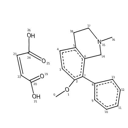 COc1ccc2c(c1-c1ccccc1)CN(C)CC2.O=C(O)/C=C\C(=O)O